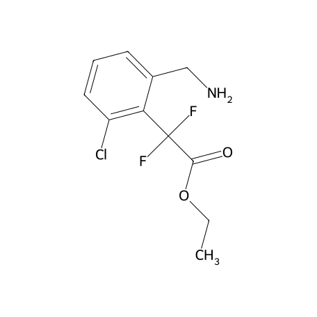 CCOC(=O)C(F)(F)c1c(Cl)cccc1CN